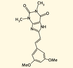 COc1cc(C=Cc2nc3c([nH]2)c(=O)n(C)c(=O)n3C)cc(OC)c1